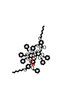 CCCCCCCOc1ccc(C(=O)OCC2OC(OC3OC(COC(=O)c4ccc(OCCCCCCC)cc4OCc4ccccc4)C(OCc4ccccc4)C(OCc4ccccc4)C3OCc3ccccc3)C(OCc3ccccc3)C(OCc3ccccc3)C2OCc2ccccc2)c(OCc2ccccc2)c1